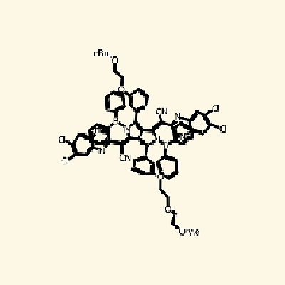 CCCCOCCOc1cccc(-c2c3/c(=C(\C#N)c4cnc5cc(Cl)c(Cl)cc5n4)n(B(c4ccccc4)c4ccccc4)c(-c4cccc(OCCOCCOC)c4)c3/c(=C(\C#N)c3cnc4cc(Cl)c(Cl)cc4n3)n2B(c2ccccc2)c2ccccc2)c1